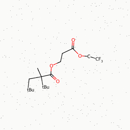 CC(C)(C)CC(C)(C(=O)OCCC(=O)OCC(F)(F)F)C(C)(C)C